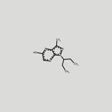 CCC(CC)n1nc(C)c2nc(O)cnc21